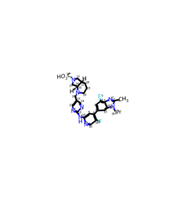 Cc1nc2c(F)cc(-c3cc(Nc4ncc(CN5CCC[C@H]6CN(C(=O)O)C[C@H]65)cn4)ncc3F)cc2n1C(C)C